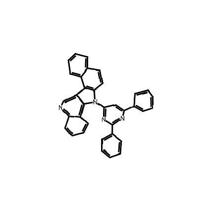 c1ccc(-c2cc(-n3c4ccc5ccccc5c4c4cnc5ccccc5c43)nc(-c3ccccc3)n2)cc1